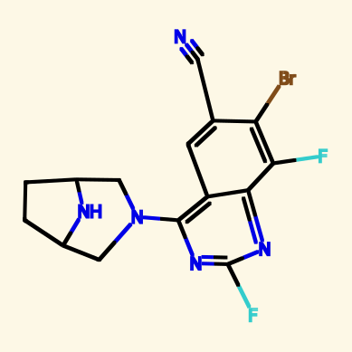 N#Cc1cc2c(N3CC4CCC(C3)N4)nc(F)nc2c(F)c1Br